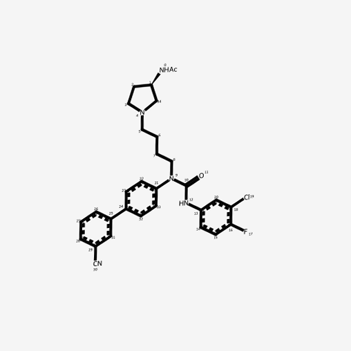 CC(=O)N[C@@H]1CCN(CCCCN(C(=O)Nc2ccc(F)c(Cl)c2)c2ccc(-c3cccc(C#N)c3)cc2)C1